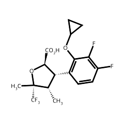 C[C@H]1[C@@H](c2ccc(F)c(F)c2OC2CC2)[C@H](C(=O)O)O[C@@]1(C)C(F)(F)F